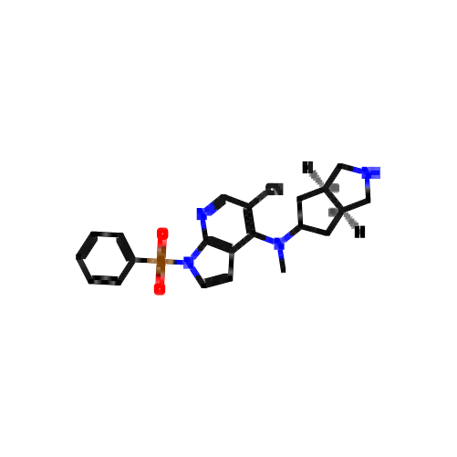 CN(c1c(C#N)cnc2c1ccn2S(=O)(=O)c1ccccc1)C1C[C@H]2CNC[C@H]2C1